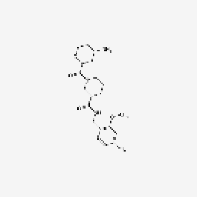 N#Cc1ccc(CNC(=O)[C@@H]2CCCN(C(=O)C3CC(N)CCO3)C2)c(OC(F)(F)F)c1